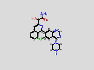 NC(=O)C(O)c1cc2ccccc2c(-c2cc3ncnc(N4CCNCC4)c3cc2Cl)n1